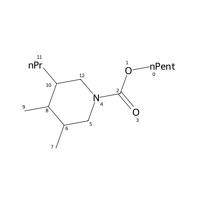 CCCCCOC(=O)N1CC(C)C(C)C(CCC)C1